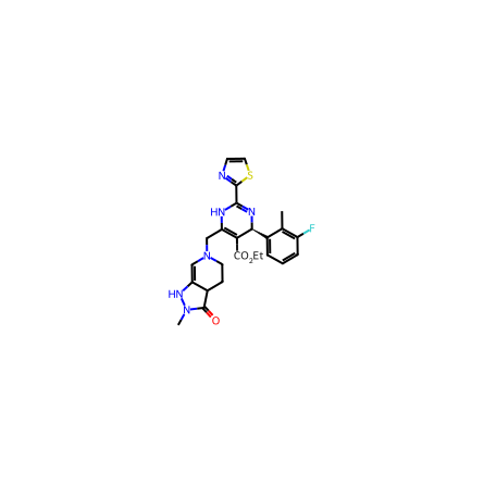 CCOC(=O)C1=C(CN2C=C3NN(C)C(=O)C3CC2)NC(c2nccs2)=N[C@H]1c1cccc(F)c1C